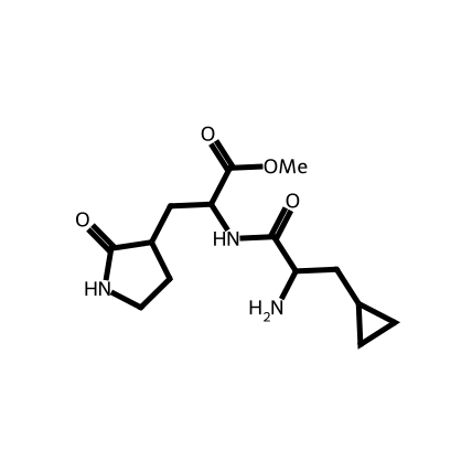 COC(=O)C(CC1CCNC1=O)NC(=O)C(N)CC1CC1